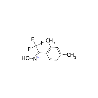 Cc1ccc(/C(=N/O)C(F)(F)F)c(C)c1